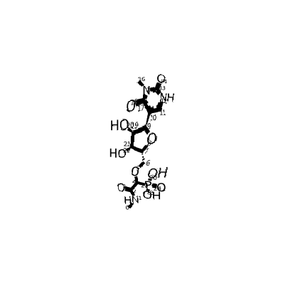 CNC(=O)C(OC[C@H]1O[C@H](c2c[nH]c(=O)n(C)c2=O)[C@H](O)[C@@H]1O)P(=O)(O)O